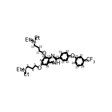 CCN(CC)CCCOc1cc(OCCCN(CC)CC)c2nc(-c3ccc(Oc4cccc(C(F)(F)F)c4)cc3)[nH]c2c1